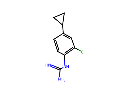 N=C(N)Nc1ccc(C2CC2)cc1Cl